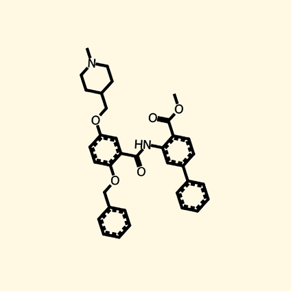 COC(=O)c1ccc(-c2ccccc2)cc1NC(=O)c1cc(OCC2CCN(C)CC2)ccc1OCc1ccccc1